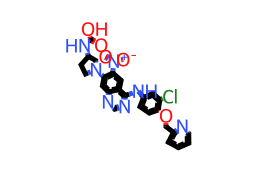 O=C(O)NC1CCN(c2cc3ncnc(Nc4ccc(OCc5ccccn5)c(Cl)c4)c3cc2[N+](=O)[O-])C1